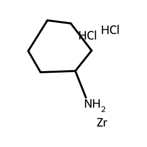 Cl.Cl.NC1CCCCC1.[Zr]